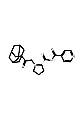 O=C(NC(=O)[C@@H]1CCCN1CC(=O)C12CC3CC(CC(C3)C1)C2)c1ccncc1